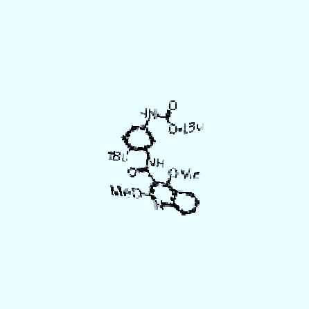 COc1nc2ccccc2c(OC)c1C(=O)Nc1cc(NC(=O)OC(C)(C)C)ccc1C(C)(C)C